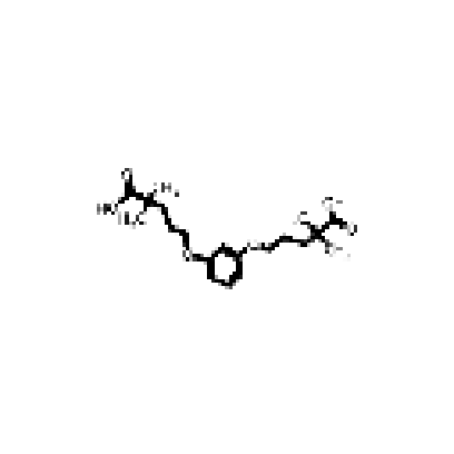 CC(C)(CCCOc1cccc(OCCCC(C)(C)C(=O)O)c1)C(=O)O